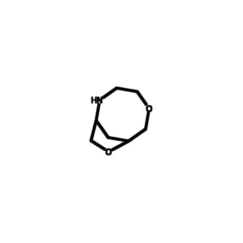 C1COCC2CC(CO2)N1